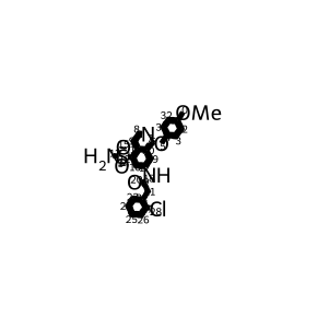 COc1ccc(Oc2nccc3c(S(N)(=O)=O)cc(NC(=O)Cc4ccccc4Cl)cc23)cc1